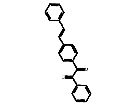 O=C(C(=O)c1ccc(C=Cc2ccccc2)cc1)c1ccccc1